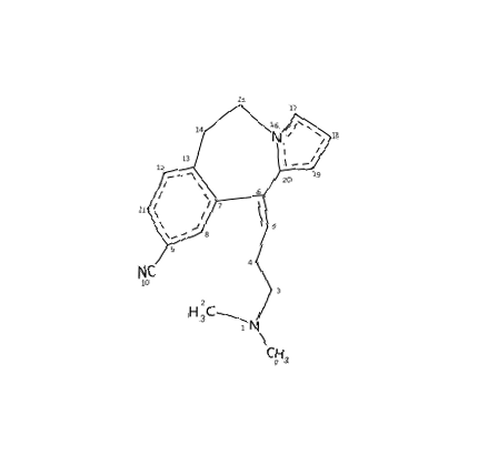 CN(C)CCC=C1c2cc(C#N)ccc2CCn2cccc21